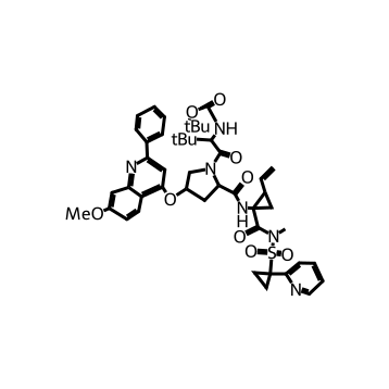 C=CC1CC1(NC(=O)C1CC(Oc2cc(-c3ccccc3)nc3cc(OC)ccc23)CN1C(=O)C(NC(=O)OC(C)(C)C)C(C)(C)C)C(=O)N(C)S(=O)(=O)C1(c2ccccn2)CC1